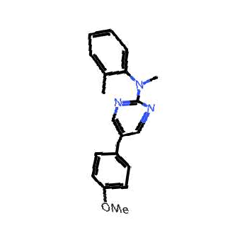 COc1ccc(-c2cnc(N(C)c3ccccc3C)nc2)cc1